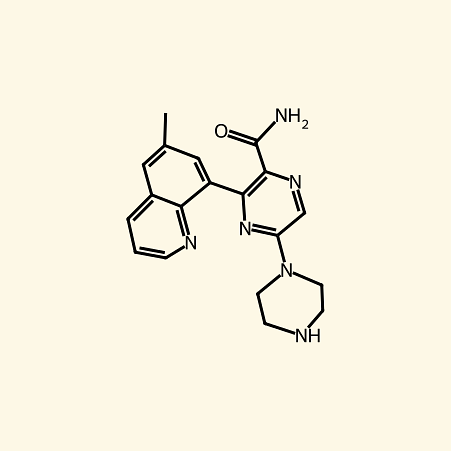 Cc1cc(-c2nc(N3CCNCC3)cnc2C(N)=O)c2ncccc2c1